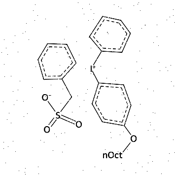 CCCCCCCCOc1ccc([I+]c2ccccc2)cc1.O=S(=O)([O-])Cc1ccccc1